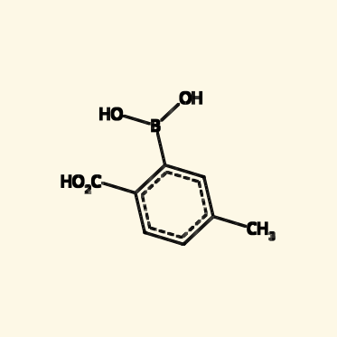 Cc1ccc(C(=O)O)c(B(O)O)c1